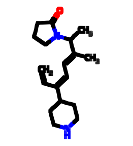 C=C/C(=C\C=C(/C)C(C)N1CCCC1=O)C1CCNCC1